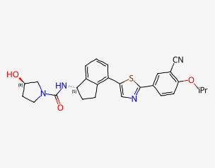 CC(C)Oc1ccc(-c2ncc(-c3cccc4c3CC[C@@H]4NC(=O)N3CC[C@@H](O)C3)s2)cc1C#N